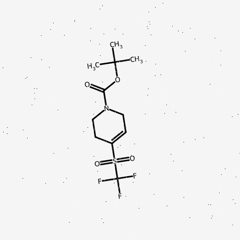 CC(C)(C)OC(=O)N1CC=C(S(=O)(=O)C(F)(F)F)CC1